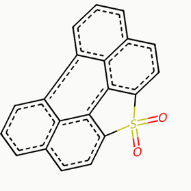 O=S1(=O)c2ccc3cccc4c5cccc6ccc1c(c2c34)c65